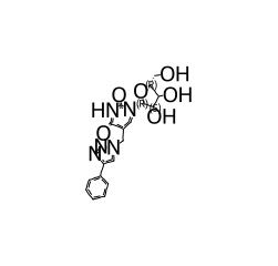 O=c1[nH]c(=O)n([C@@H]2O[C@H](CO)C(O)[C@@H]2O)cc1Cn1cc(-c2ccccc2)nn1